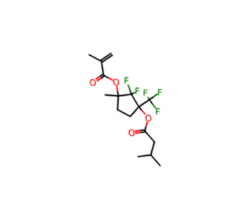 C=C(C)C(=O)OC1(C)CCC(OC(=O)CC(C)C)(C(F)(F)F)C1(F)F